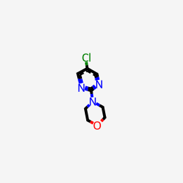 Clc1cnc(N2CCOCC2)nc1